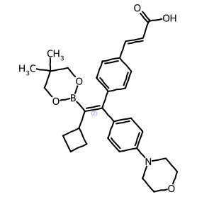 CC1(C)COB(/C(=C(\c2ccc(C=CC(=O)O)cc2)c2ccc(N3CCOCC3)cc2)C2CCC2)OC1